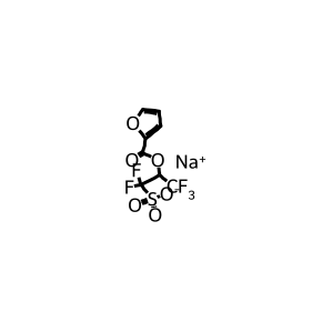 O=C(OC(C(F)(F)F)C(F)(F)S(=O)(=O)[O-])c1ccco1.[Na+]